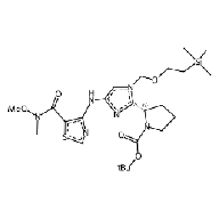 CON(C)C(=O)c1scnc1Nc1cn(COCC[Si](C)(C)C)c([C@@H]2CCCN2C(=O)OC(C)(C)C)n1